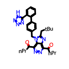 CCCC(=O)c1nnc(C(=O)CCC)c2c1nc(CC(C)(C)C)n2Cc1ccc(-c2ccccc2-c2nnn[nH]2)cc1